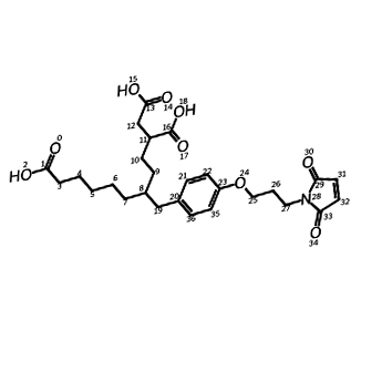 O=C(O)CCCCCC(CCC(CC(=O)O)C(=O)O)Cc1ccc(OCCCN2C(=O)C=CC2=O)cc1